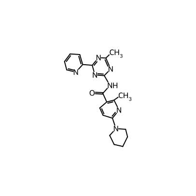 Cc1nc(NC(=O)c2ccc(N3CCCCC3)nc2C)nc(-c2ccccn2)n1